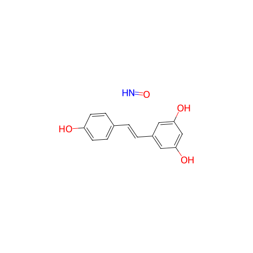 N=O.Oc1ccc(C=Cc2cc(O)cc(O)c2)cc1